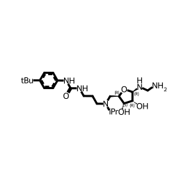 CC(C)N(CCCNC(=O)Nc1ccc(C(C)(C)C)cc1)C[C@H]1O[C@@H](NCN)[C@H](O)[C@@H]1O